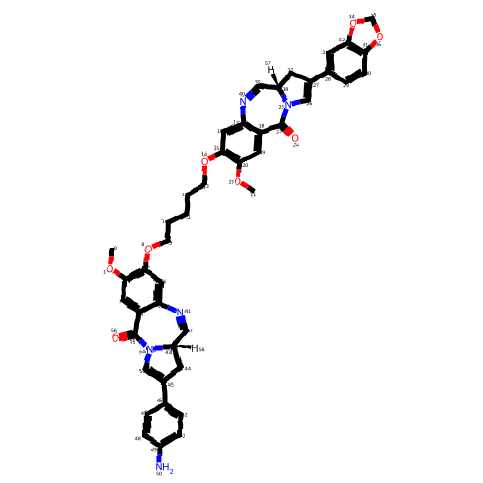 COc1cc2c(cc1OCCCCCOc1cc3c(cc1OC)C(=O)N1C=C(c4ccc5c(c4)OCO5)C[C@H]1C=N3)N=C[C@@H]1CC(c3ccc(N)cc3)=CN1C2=O